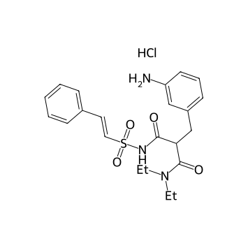 CCN(CC)C(=O)C(Cc1cccc(N)c1)C(=O)NS(=O)(=O)C=Cc1ccccc1.Cl